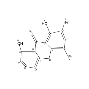 CC(C)c1cc(C(C)C)c2c(c1O)C(=O)c1c(O)cccc1C2